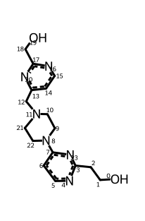 OCCc1nccc(N2CCN(Cc3ccnc(CO)n3)CC2)n1